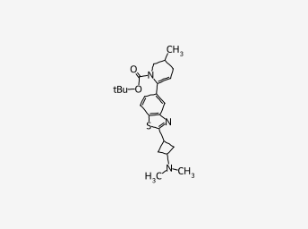 CC1CC=C(c2ccc3sc(C4CC(N(C)C)C4)nc3c2)N(C(=O)OC(C)(C)C)C1